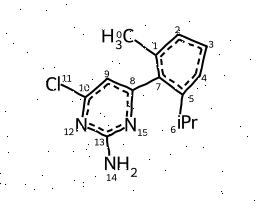 Cc1cccc(C(C)C)c1-c1cc(Cl)nc(N)n1